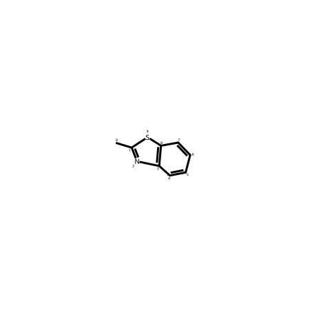 Cc1nc2[c]cccc2s1